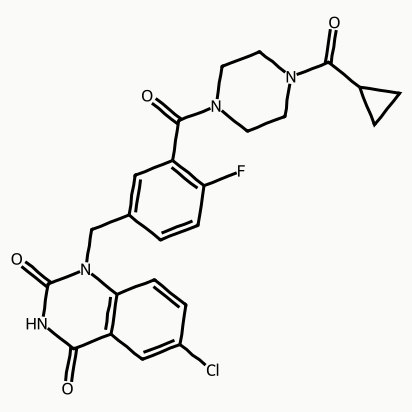 O=C(c1cc(Cn2c(=O)[nH]c(=O)c3cc(Cl)ccc32)ccc1F)N1CCN(C(=O)C2CC2)CC1